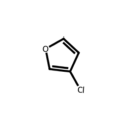 Clc1c[c]oc1